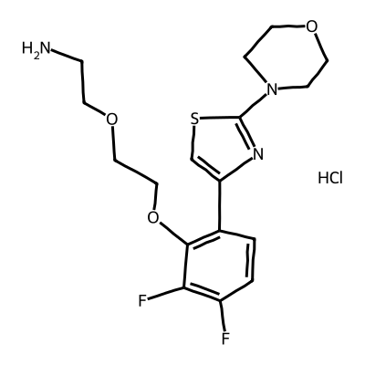 Cl.NCCOCCOc1c(-c2csc(N3CCOCC3)n2)ccc(F)c1F